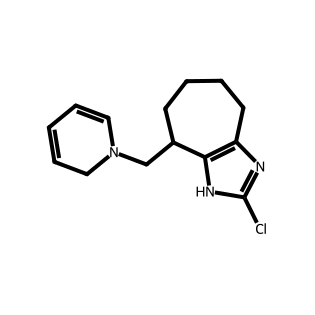 Clc1nc2c([nH]1)C(CN1C=CC=CC1)CCCC2